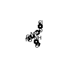 CN(C)S(=O)(=O)c1cnc(N2CCC(Oc3ccc(Cl)cc3)CC2)c(Nc2ccc3c(c2)CCO3)c1